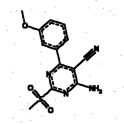 COc1cccc(-c2nc(S(C)(=O)=O)nc(N)c2C#N)c1